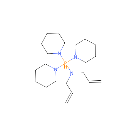 C=CCN(CC=C)[PH](N1CCCCC1)(N1CCCCC1)N1CCCCC1